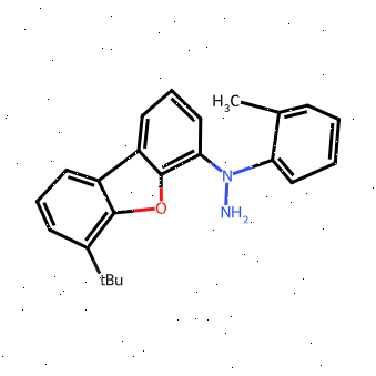 Cc1ccccc1N(N)c1cccc2c1oc1c(C(C)(C)C)cccc12